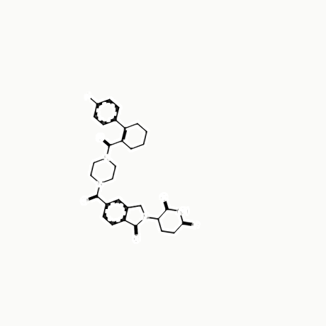 O=C1CCC(N2Cc3cc(C(=O)N4CCN(C(=O)C5=C(c6ccc(F)cc6)CCCC5)CC4)ccc3C2=O)C(=O)N1